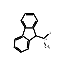 C[C@@H]([O])C1c2ccccc2-c2ccccc21